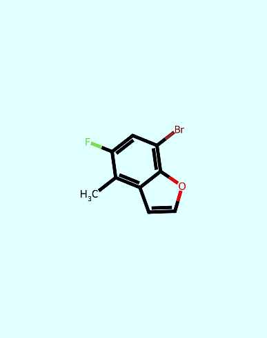 Cc1c(F)cc(Br)c2occc12